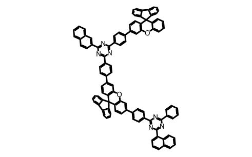 c1ccc(-c2nc(-c3ccc(-c4ccc5c(c4)Oc4cc(-c6ccc(-c7nc(-c8ccc(-c9ccc%10c(c9)Oc9ccccc9C%109c%10ccccc%10-c%10ccccc%109)cc8)nc(-c8ccc9ccccc9c8)n7)cc6)ccc4C54c5ccccc5-c5ccccc54)cc3)nc(-c3cccc4ccccc34)n2)cc1